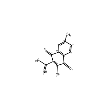 CCCC(=N)C1=C(O)C(=O)c2ccc(C)cc2C1=O